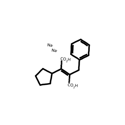 O=C(O)C(Cc1ccccc1)=C(C(=O)O)C1CCCC1.[Na].[Na]